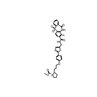 COC(=O)[C@@H]1CCCN1CCCOc1ccc(-c2ncc(CNC(=O)c3ccc4c(c3C)NC(=O)c3ccccc3S4(=O)=O)s2)cc1